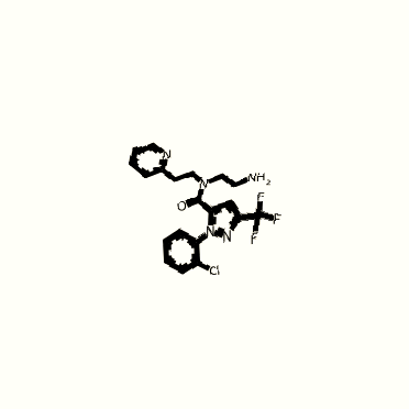 NCCN(CCc1ccccn1)C(=O)c1cc(C(F)(F)F)nn1-c1ccccc1Cl